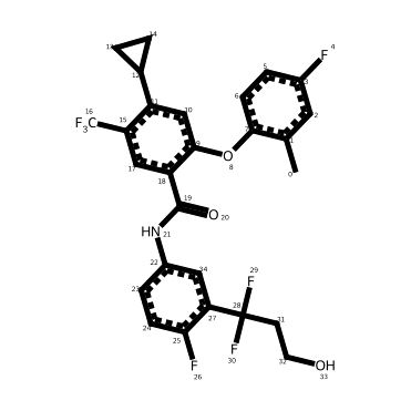 Cc1cc(F)ccc1Oc1cc(C2CC2)c(C(F)(F)F)cc1C(=O)Nc1ccc(F)c(C(F)(F)CCO)c1